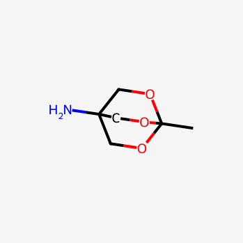 CC12OCC(N)(CO1)CO2